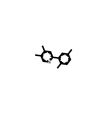 Cc1ccc(C)c(-c2cc(C)c(C)cn2)c1